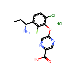 CC[C@@H](N)c1ccc(Cl)c(Oc2cnc(C(=O)O)cn2)c1F.Cl